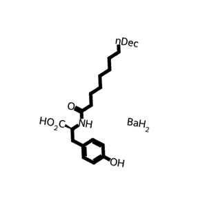 CCCCCCCCCCCCCCCCCC(=O)N[C@@H](Cc1ccc(O)cc1)C(=O)O.[BaH2]